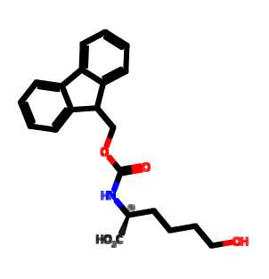 O=C(N[C@@H](CCCCO)C(=O)O)OCC1c2ccccc2-c2ccccc21